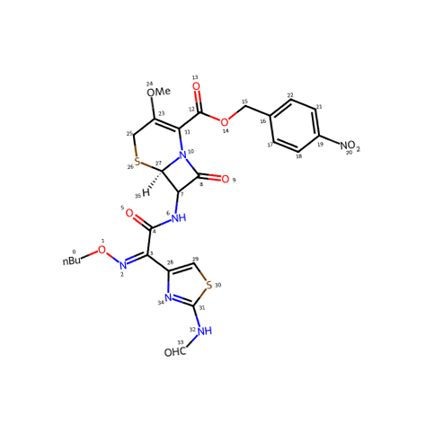 CCCCO/N=C(\C(=O)NC1C(=O)N2C(C(=O)OCc3ccc([N+](=O)[O-])cc3)=C(OC)CS[C@H]12)c1csc(NC=O)n1